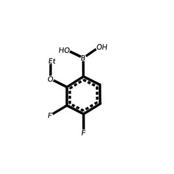 CCOc1c(B(O)O)ccc(F)c1F